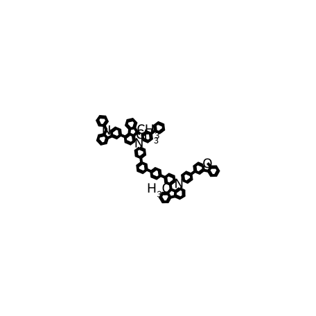 CC1(C)c2ccccc2-c2c(-c3ccc4c(c3)c3ccccc3n4-c3ccccc3)ccc(N(c3ccc(-c4ccccc4)cc3)c3ccc(-c4cccc(-c5ccc(-c6ccc7c(c6)C6(C)c8ccccc8-c8cccc(c86)N7c6ccc(-c7ccc8oc9ccccc9c8c7)cc6)cc5)c4)cc3)c21